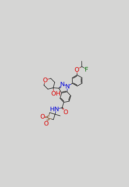 CC(F)Oc1cccc(-n2nc(C3(O)CCOCC3)c3cc(C(=O)NC4(C)CS(=O)(=O)C4)ccc32)c1